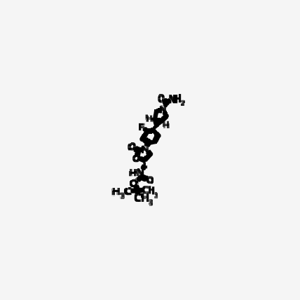 CC(C)(C)OC(=O)NC[C@H]1CN(c2ccc([C@H]3[C@@H]4CN(C(N)=O)C[C@@H]43)c(F)c2)C(=O)O1